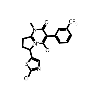 Cn1c2[n+](c([O-])c(-c3cccc(C(F)(F)F)c3)c1=O)C(c1cnc(Cl)s1)CC2